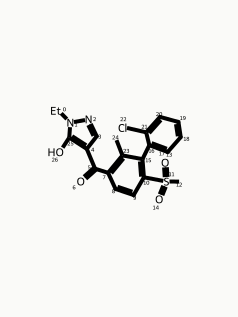 CCn1ncc(C(=O)c2ccc(S(C)(=O)=O)c(-c3ccccc3Cl)c2C)c1O